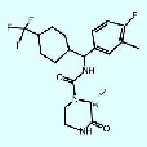 Cc1cc(C(NC(=O)N2CCNC(=O)[C@H]2C)C2CCC(C(F)(F)F)CC2)ccc1F